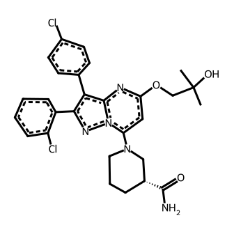 CC(C)(O)COc1cc(N2CCC[C@@H](C(N)=O)C2)n2nc(-c3ccccc3Cl)c(-c3ccc(Cl)cc3)c2n1